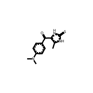 Cc1[nH]c(=S)[nH]c1C(=O)c1ccc(N(C)C)cc1